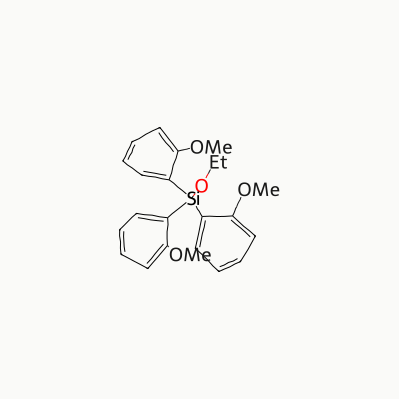 CCO[Si](c1ccccc1OC)(c1ccccc1OC)c1ccccc1OC